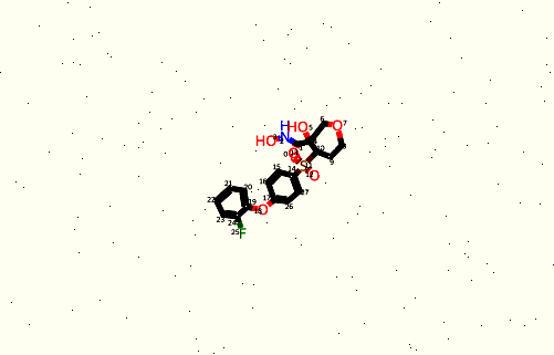 O=C(NO)C1(O)COCCC1S(=O)(=O)c1ccc(Oc2ccccc2F)cc1